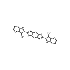 Brc1c(-c2cc3cc4sc(-c5oc6ccccc6c5Br)cc4cc3s2)oc2ccccc12